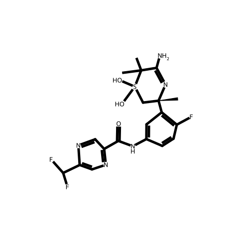 CC1(C)C(N)=N[C@](C)(c2cc(NC(=O)c3cnc(C(F)F)cn3)ccc2F)CS1(O)O